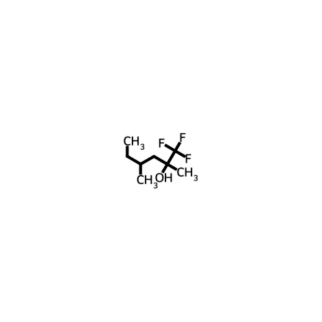 CCC(C)CC(C)(O)C(F)(F)F